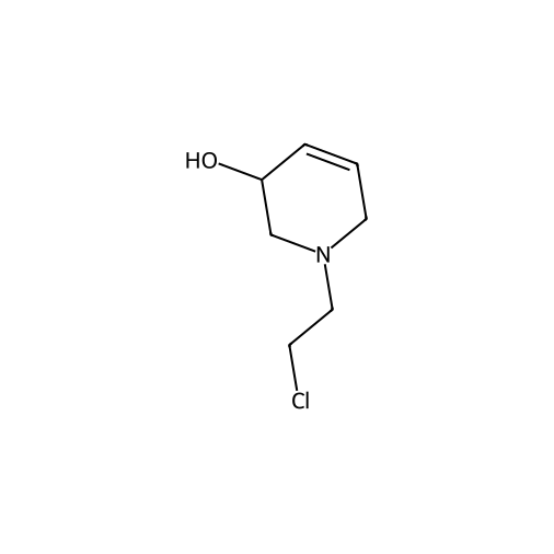 OC1C=CCN(CCCl)C1